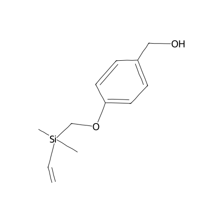 C=C[Si](C)(C)COc1ccc(CO)cc1